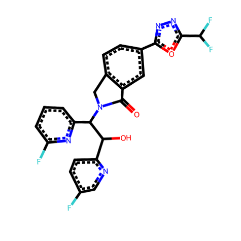 O=C1c2cc(-c3nnc(C(F)F)o3)ccc2CN1C(c1cccc(F)n1)C(O)c1ccc(F)cn1